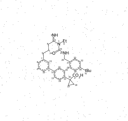 CCN(C(=N)CCCc1cccc(-c2ccc(C3(C(=O)O)CC3)cc2)c1)C(=O)NCc1ccc(C(C)(C)C)cc1